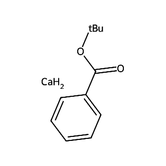 CC(C)(C)OC(=O)c1ccccc1.[CaH2]